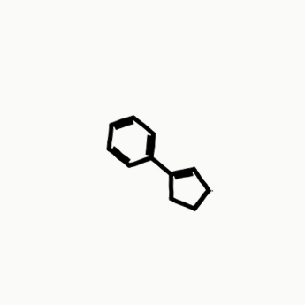 [CH]1C=C(c2ccccc2)CC1